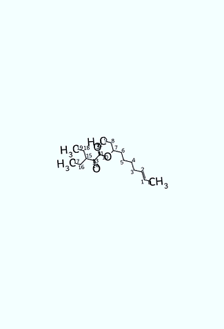 CC=CCCCCC(CC)OC(=O)C(=O)C(CC)CC